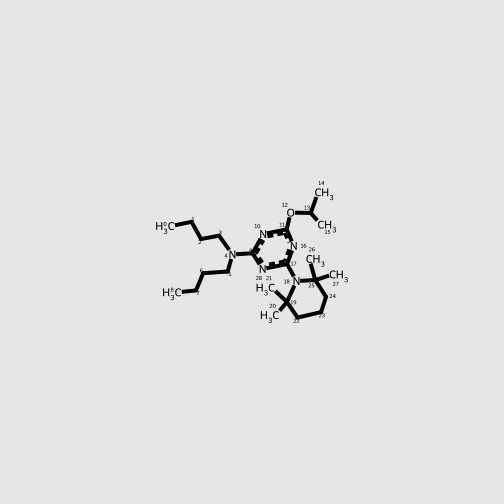 CCCCN(CCCC)c1nc(OC(C)C)nc(N2C(C)(C)CCCC2(C)C)n1